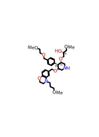 COCCCN1CCOc2ccc(CO[C@H]3CNC[C@@H](OC[C@H](O)COC)[C@@H]3c3ccc(COCCOC)cc3)cc21